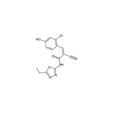 CCc1nnc(NC(=O)C(C#N)=Cc2ccc(O)cc2Cl)s1